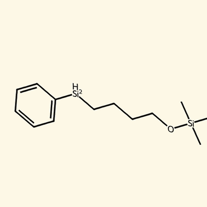 C[Si](C)(C)OCCCC[SiH2]c1ccccc1